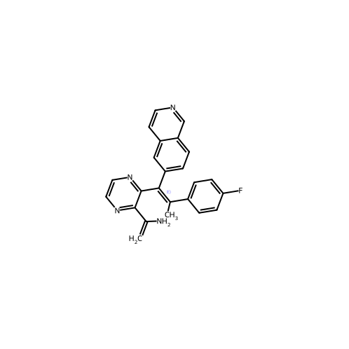 C=C(N)c1nccnc1/C(=C(\C)c1ccc(F)cc1)c1ccc2cnccc2c1